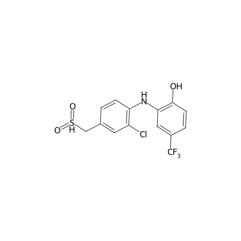 O=[SH](=O)Cc1ccc(Nc2cc(C(F)(F)F)ccc2O)c(Cl)c1